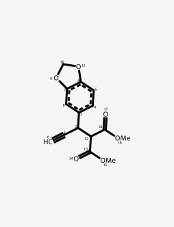 C#CC(c1ccc2c(c1)OCO2)C(C(=O)OC)C(=O)OC